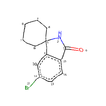 O=C1NC2(CCCCC2)c2cc(Br)ccc21